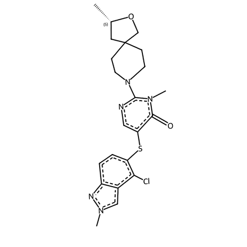 C[C@H]1CC2(CCN(c3ncc(Sc4ccc5nn(C)cc5c4Cl)c(=O)n3C)CC2)CO1